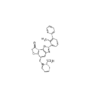 Cc1c(-c2ccccc2)cccc1-c1nc2cc(CN3CCCCC3C(=O)O)c3c(c2o1)C(=O)CO3